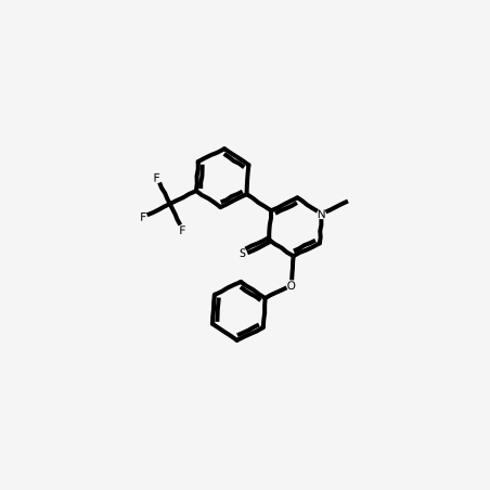 Cn1cc(Oc2ccccc2)c(=S)c(-c2cccc(C(F)(F)F)c2)c1